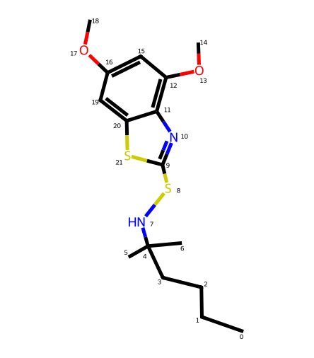 CCCCC(C)(C)NSc1nc2c(OC)cc(OC)cc2s1